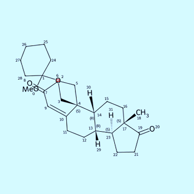 COC1(OC[C@]23CCC(=O)C=C2CC[C@@H]2[C@H]3CC[C@]3(C)C(=O)CC[C@@H]23)CCCCC1